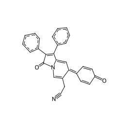 N#CCC1=CN2C(=O)C(c3ccccc3)=C(c3ccccc3)C2=CC1=C1C=CC(=O)C=C1